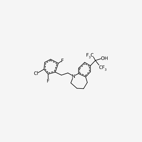 OC(c1ccc2c(c1)CCCCN2CCc1c(F)ccc(Cl)c1F)(C(F)(F)F)C(F)(F)F